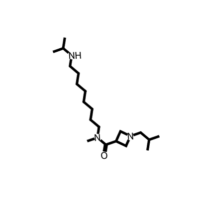 CC(C)CN1CC(C(=O)N(C)CCCCCCCCNC(C)C)C1